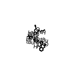 C#CCCC(NC(=O)[C@@H]1[C@@H]2[C@H](CN1C(=O)[C@@H](NC(=O)N[C@H](CN1C(=O)Cc3ccccc3C1=O)C(C)(C)C)C(C)(C)C)C2(C)C)C(=O)C(=O)NCC=C